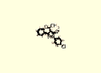 Cc1oc2ccccc2c2nn(-c3ccc(Cl)cc3)c(=O)c1-2